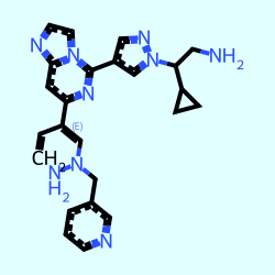 C=C/C(=C\N(N)Cc1cccnc1)c1cc2nccn2c(-c2cnn(C(CN)C3CC3)c2)n1